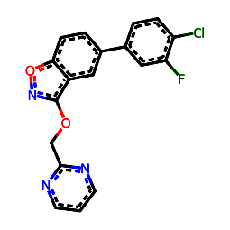 Fc1cc(-c2ccc3onc(OCc4ncccn4)c3c2)ccc1Cl